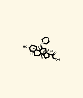 C1CSCCS1.C[C@]12CC[C@@H](O)C[C@H]1CC[C@@H]1[C@@H]2C(=O)C[C@@]2(C)[C@H]1CC[C@]2(O)C(=O)CO